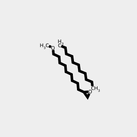 CCCCCCCCCCC.COCCCCCCCCCC1CO1